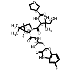 CC(C)(CO)[C@H](NC(=O)[C@H]1CCOC1)C(=O)N1C[C@H]2[C@@H]([C@H]1C(=O)N[C@H](C#N)C[C@@H]1Oc3ccc(F)cc3NC1=O)C2(C)C